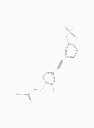 COC(=O)CCc1ccc(C#Cc2cccc(CS(C)(=O)=O)c2)cc1F